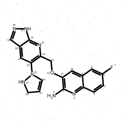 Nc1nc2ccc(F)cc2cc1OCc1nc2[nH]ncc2cc1N1C=CCN1